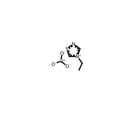 CC[n+]1cnsc1.[O-][I+2]([O-])[O-]